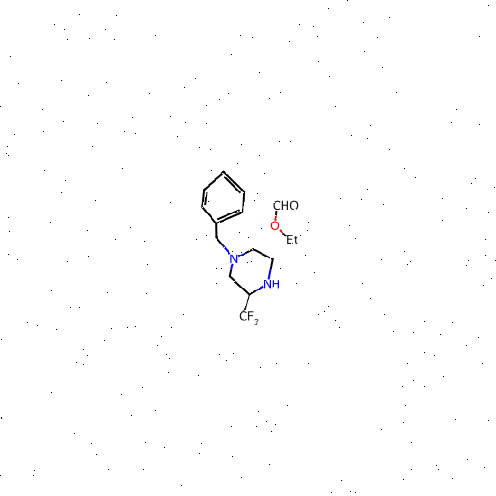 CCOC=O.FC(F)(F)C1CN(Cc2ccccc2)CCN1